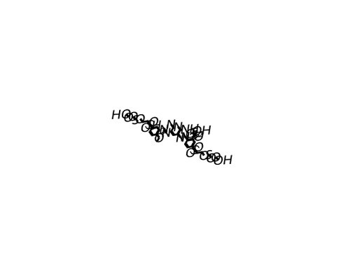 COc1ccc(S(=O)(=O)CCOSOOO)cc1/N=N/c1cc(/N=N/c2ccc(S(=O)(=O)CCOSOOO)cc2S(=O)(=O)O)c(N)nc1N